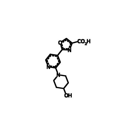 O=C(O)c1coc(-c2ccnc(N3CCC(O)CC3)c2)n1